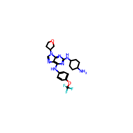 NC1CCC(Nc2nc(Nc3ccc(OC(F)(F)F)cc3)c3ncn(C4CCOC4)c3n2)CC1